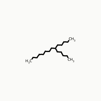 CCCCCCCCC(CCCCC)CCCCC